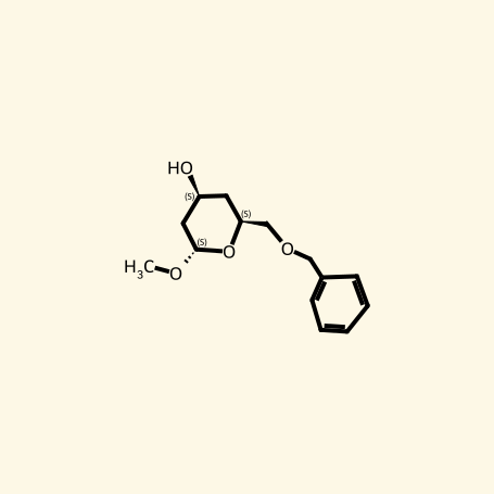 CO[C@@H]1C[C@@H](O)C[C@@H](COCc2ccccc2)O1